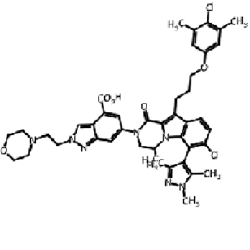 Cc1cc(OCCCc2c3n(c4c(-c5c(C)nn(C)c5C)c(Cl)ccc24)C(C)CN(c2cc(C(=O)O)c4cn(CCN5CCOCC5)nc4c2)C3=O)cc(C)c1Cl